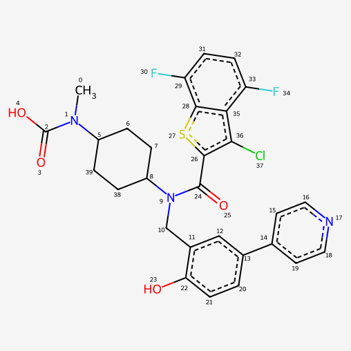 CN(C(=O)O)C1CCC(N(Cc2cc(-c3ccncc3)ccc2O)C(=O)c2sc3c(F)ccc(F)c3c2Cl)CC1